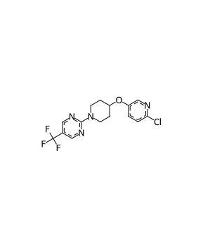 FC(F)(F)c1cnc(N2CCC(Oc3ccc(Cl)nc3)CC2)nc1